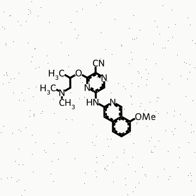 COc1cccc2cc(Nc3cnc(C#N)c(OC(C)CN(C)C)n3)ncc12